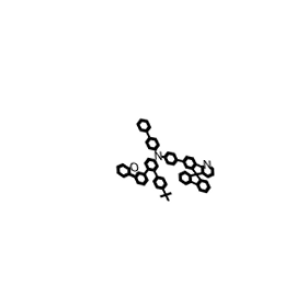 CC(C)(C)c1ccc(-c2cc(N(c3ccc(-c4ccccc4)cc3)c3ccc(-c4ccc5c(c4)C4(c6ccccc6-c6ccccc64)c4cccnc4-5)cc3)ccc2-c2cccc3c2oc2ccccc23)cc1